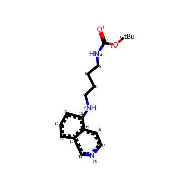 CC(C)(C)OC(=O)NCCCCNc1cccc2cnccc12